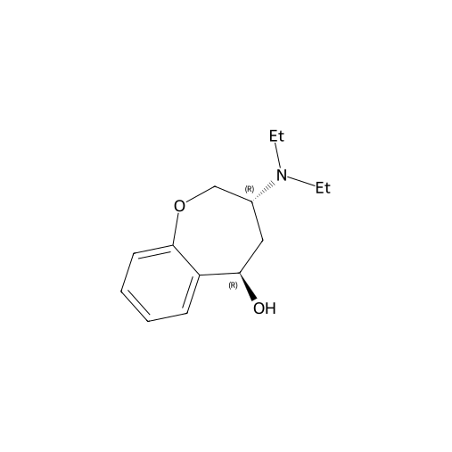 CCN(CC)[C@H]1COc2ccccc2[C@H](O)C1